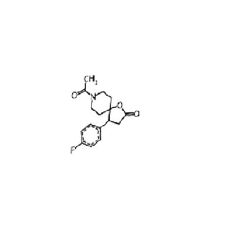 CC(=O)N1CCC2(CC1)OC(=O)CC2c1ccc(F)cc1